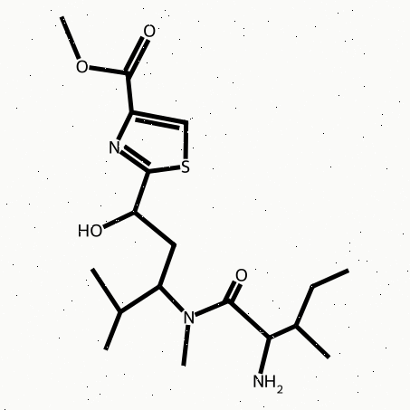 CCC(C)C(N)C(=O)N(C)C(CC(O)c1nc(C(=O)OC)cs1)C(C)C